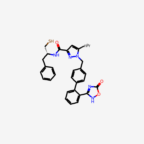 CCCc1cc(C(=O)N[C@@H](CS)Cc2ccccc2)nn1Cc1ccc(-c2ccccc2-c2nc(=O)o[nH]2)cc1